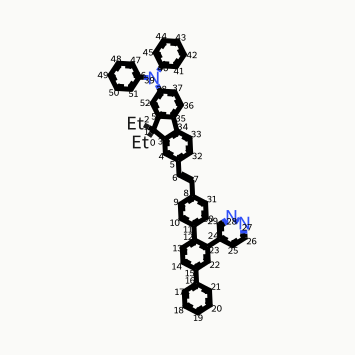 CCC1(CC)c2cc(/C=C/c3ccc(-c4ccc(-c5ccccc5)cc4-c4ccnnc4)cc3)ccc2-c2ccc(N(c3ccccc3)c3ccccc3)cc21